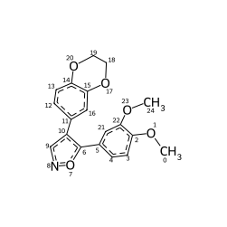 COc1ccc(-c2oncc2-c2ccc3c(c2)OCCO3)cc1OC